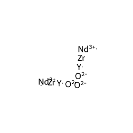 [Nd+3].[Nd+3].[O-2].[O-2].[O-2].[Y].[Y].[Zr].[Zr]